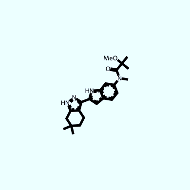 COC(C)(C)C(=O)N(C)c1ccc2cc(-c3n[nH]c4c3CCC(C)(C)C4)[nH]c2c1